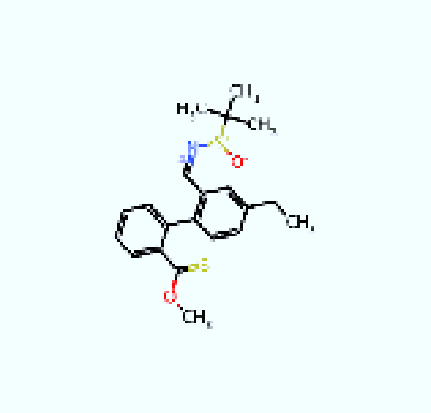 CCc1ccc(-c2ccccc2C(=S)OC)c(/C=N\[S+]([O-])C(C)(C)C)c1